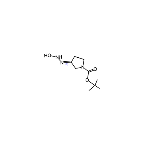 CC(C)(C)OC(=O)N1CC/C(=N\NO)C1